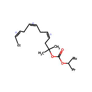 CC/C=C\C/C=C\C/C=C\CC(C)(C)OC(=O)OC(C(C)C)C(C)CC